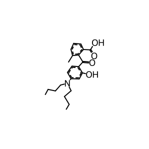 CCCCN(CCCC)c1ccc(C(=O)c2c(C)cccc2C(=O)O)c(O)c1